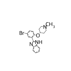 CN1CCC(Oc2ccc(Br)cc2-c2nc3ccccc3[nH]2)CC1